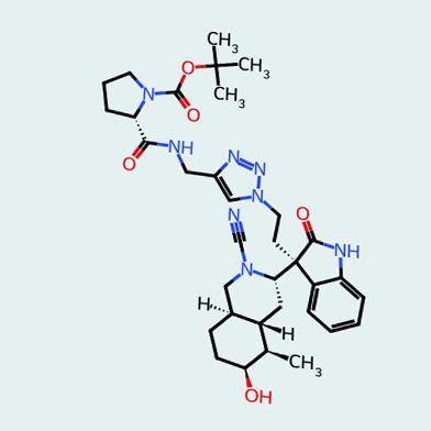 C[C@@H]1[C@H]2C[C@@H]([C@@]3(CCn4cc(CNC(=O)[C@@H]5CCCN5C(=O)OC(C)(C)C)nn4)C(=O)Nc4ccccc43)N(C#N)C[C@@H]2CC[C@@H]1O